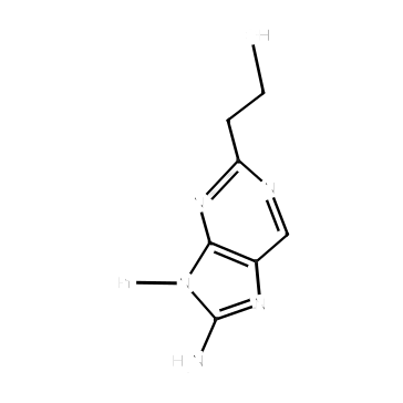 CC(C)n1c(N)nc2cnc(CCO)nc21